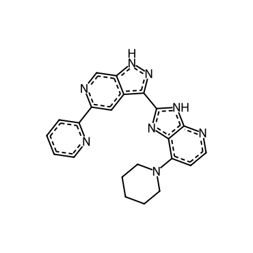 c1ccc(-c2cc3c(-c4nc5c(N6CCCCC6)ccnc5[nH]4)n[nH]c3cn2)nc1